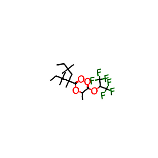 CCC(C)(C)CC(C)(C(=O)OC(C)C(=O)OC(C(F)(F)F)C(F)(F)F)C(C)(C)CC